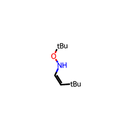 CC(C)(C)/C=C\NOC(C)(C)C